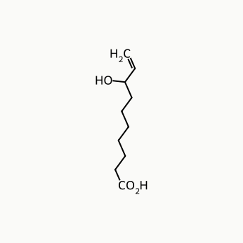 C=CC(O)CCCCCCC(=O)O